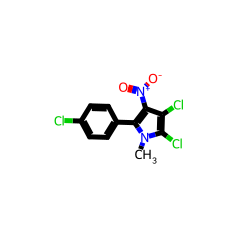 Cn1c(Cl)c(Cl)c([N+](=O)[O-])c1-c1ccc(Cl)cc1